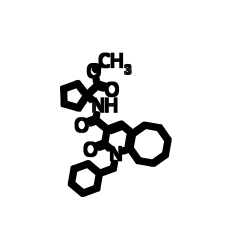 COC(=O)C1(NC(=O)c2cc3c(n(CC4CCCCC4)c2=O)CCCCCC3)CCCC1